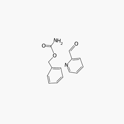 NC(=O)OCc1ccccc1.O=Cc1ccccn1